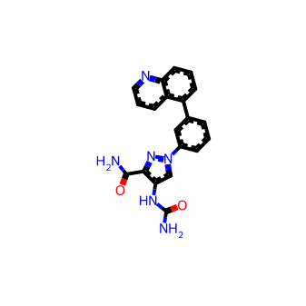 NC(=O)Nc1cn(-c2cccc(-c3cccc4ncccc34)c2)nc1C(N)=O